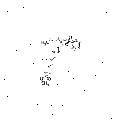 CCCCC(CCCCCCCSCCC(=O)OC)OS(=O)(=O)c1ccccc1